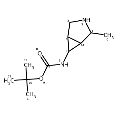 CC1NCC2C(NC(=O)OC(C)(C)C)C12